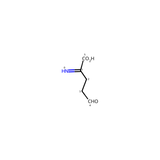 N=C(CCC=O)C(=O)O